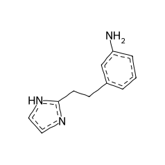 Nc1cccc(CCc2ncc[nH]2)c1